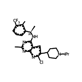 Cc1nc(N[C@H](C)c2cccc(C(F)(F)F)c2C)c2cc(C3CCN(C(C)C)CC3)c(Cl)nc2n1